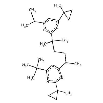 CC(C)c1cc(C2(C)CC2)nc(C(C)(C)CCC(C)c2cc(C(C)(C)C)nc(C3(C)CC3)n2)n1